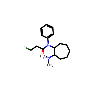 CN(C)C1CCCCCC1N(C(=O)CCF)c1ccccc1